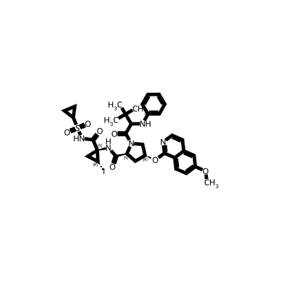 COc1ccc2c(O[C@@H]3C[C@@H](C(=O)N[C@]4(C(=O)NS(=O)(=O)C5CC5)C[C@H]4I)N(C(=O)C(Nc4ccccc4)C(C)(C)C)C3)nccc2c1